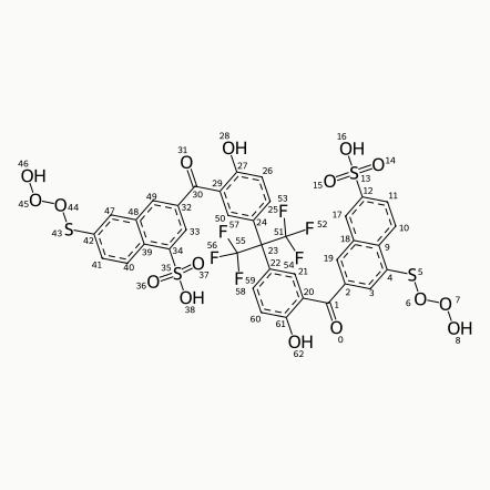 O=C(c1cc(SOOO)c2ccc(S(=O)(=O)O)cc2c1)c1cc(C(c2ccc(O)c(C(=O)c3cc(S(=O)(=O)O)c4ccc(SOOO)cc4c3)c2)(C(F)(F)F)C(F)(F)F)ccc1O